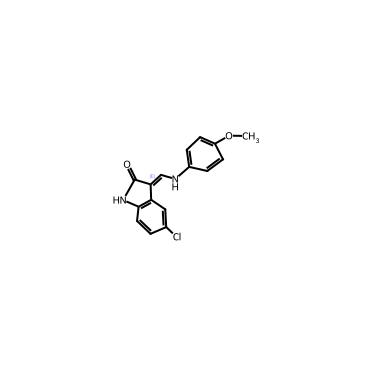 COc1ccc(N/C=C2/C(=O)Nc3ccc(Cl)cc32)cc1